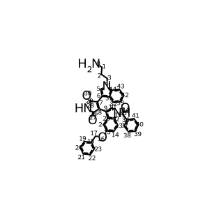 NCCCn1cc(C2=C(c3c[nH]c4ccc(OCc5ccccc5)cc34)C(=O)NC2=O)c2cc(OCc3ccccc3)ccc21